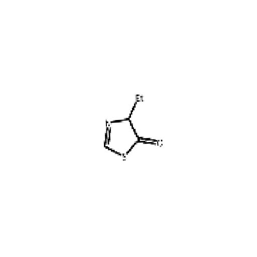 CCC1N=[C]SC1=O